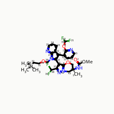 COC(=O)N[C@]1(C)COc2c(-c3c(-c4cccnc4OC(F)F)c4cccnc4n3COCC[Si](C)(C)C)c(C(F)F)nn2C1